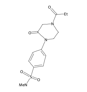 CCC(=O)N1CCN(c2ccc(S(=O)(=O)NC)cc2)C(=O)C1